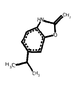 C=C1Nc2ccc(C(C)C)cc2O1